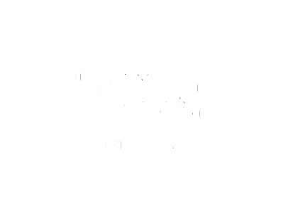 COc1cncc(C2=C(CN(C)C)CCCCC2)c1.Cl